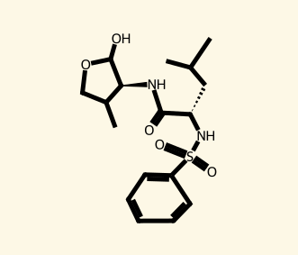 CC(C)C[C@H](NS(=O)(=O)c1ccccc1)C(=O)N[C@H]1C(C)COC1O